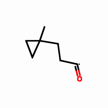 CC1(CC[C]=O)CC1